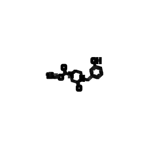 CC(C)(C)OC(=O)N1CCN(Cc2cccc(O)c2)C(=O)C1